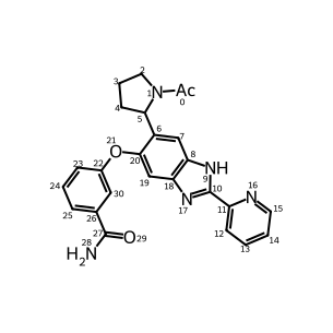 CC(=O)N1CCCC1c1cc2[nH]c(-c3ccccn3)nc2cc1Oc1cccc(C(N)=O)c1